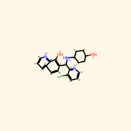 Oc1c(C(NC2CCC(O)CC2)c2ncccc2F)ccc2cccnc12